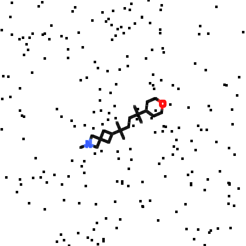 CN1CC2(CC(C(C)(C)CCC(C)(C)C3CCOCC3)C2)C1